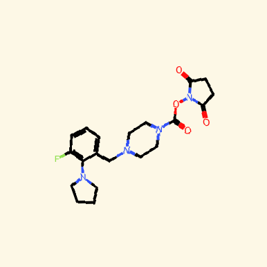 O=C(ON1C(=O)CCC1=O)N1CCN(Cc2cccc(F)c2N2CCCC2)CC1